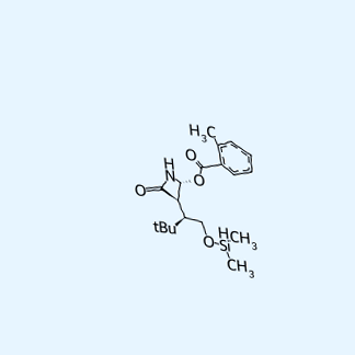 Cc1ccccc1C(=O)O[C@H]1NC(=O)[C@@H]1[C@@H](CO[SiH](C)C)C(C)(C)C